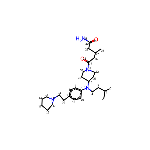 CC(C)CCN(c1ccc(CCN2CCCCC2)cc1)C1CCN(C(=O)CC(C)CC(N)=O)CC1